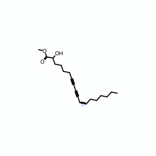 CCCCCC/C=C\C#CC#CCCCCC(O)C(=O)OC